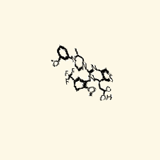 COc1cccc(N2CCN(C3=Nc4cscc4C(CC(=O)O)N3c3cc(C(F)(F)F)ccc3OC)CC2C)c1